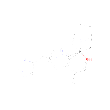 N#Cc1ccc(N2C3CCC2CC(O)(CNCCc2c[nH]cn2)C3)c2ccccc12